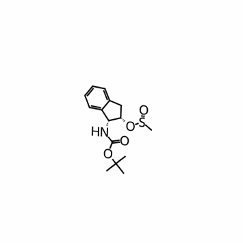 CS(=O)O[C@H]1Cc2ccccc2[C@H]1NC(=O)OC(C)(C)C